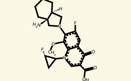 COc1c(N2C[C@@H]3CCCC[C@@]3(N)C2)c(F)cc2c(=O)c(C(=O)O)cn(C3C[C@@H]3F)c12